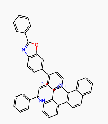 N=C(/C=C\C(=N)c1ccccc1-c1ccc2ccccc2c1-c1ccc(-c2ccc3nc(-c4ccccc4)oc3c2)cc1)c1ccccc1